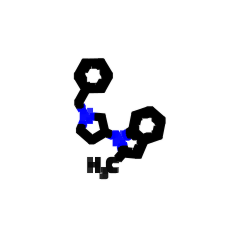 Cc1cc2ccccc2n1C1CCN(Cc2ccccc2)C1